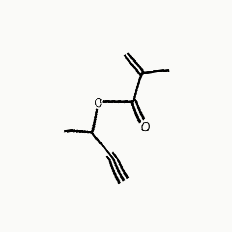 C#CC(C)OC(=O)C(=C)C